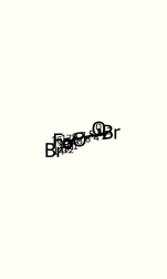 O=C(CBr)CCCCOCc1ccc(Br)c(F)c1